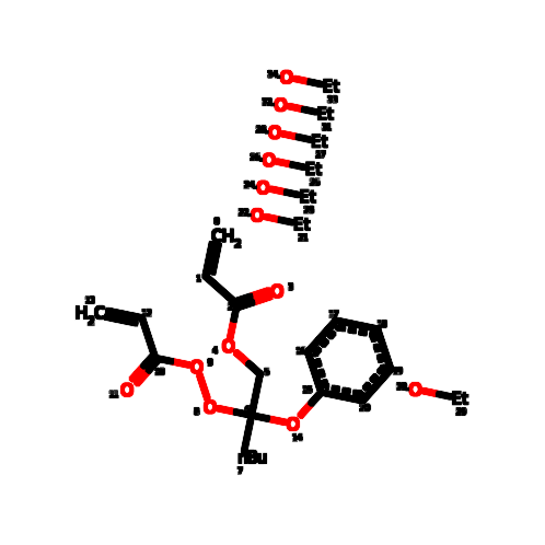 C=CC(=O)OCC(CCCC)(OOC(=O)C=C)Oc1ccccc1.[CH2]C[O].[CH2]C[O].[CH2]C[O].[CH2]C[O].[CH2]C[O].[CH2]C[O].[CH2]C[O]